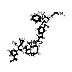 CCCOC(=O)[C@H](C)NP(=O)(Oc1ccccc1)[C@@H](F)c1ccc2sc(C(=O)N[C@H]3CCCC[C@H]4CC[C@@H](C(=O)N5C[C@@H](c6cccc(C(F)F)c6)[C@H](C#N)C56CC6)N4C3=O)cc2c1